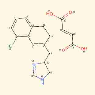 Clc1cccc2c1C=C(CC1CNC=N1)CC2.O=C(O)C=CC(=O)O